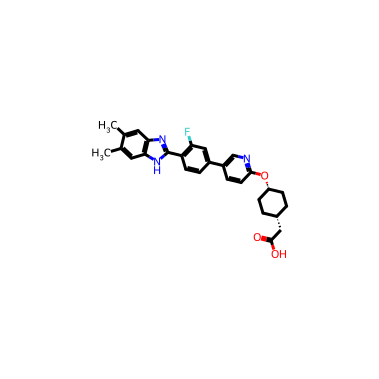 Cc1cc2nc(-c3ccc(-c4ccc(O[C@H]5CC[C@@H](CC(=O)O)CC5)nc4)cc3F)[nH]c2cc1C